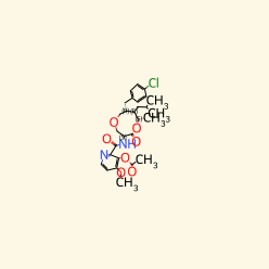 COc1ccnc(C(=O)N[C@H]2COC[C@H](Cc3ccc(Cl)cc3)[C@@H](CC(C)C)[C@H](C)OC2=O)c1OC(C)=O